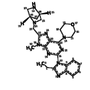 CCc1nc2ccccc2n1-c1nc(N2CCOCC2)c2nc(CN3C[C@@H]4C[C@H]3CN4)n(C)c2n1